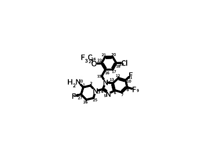 NC1CN(c2nc3cc(F)c(F)cc3n2Cc2cc(Cl)ccc2OC(F)(F)F)CCC1F